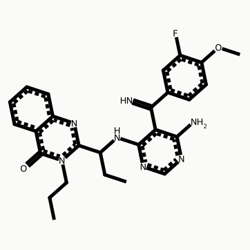 CCCn1c(C(CC)Nc2ncnc(N)c2C(=N)c2ccc(OC)c(F)c2)nc2ccccc2c1=O